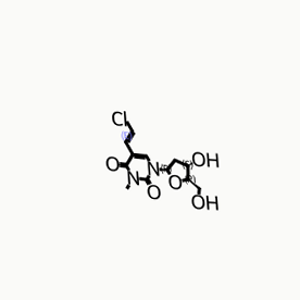 Cn1c(=O)c(/C=C/Cl)cn([C@H]2C[C@H](O)[C@@H](CO)O2)c1=O